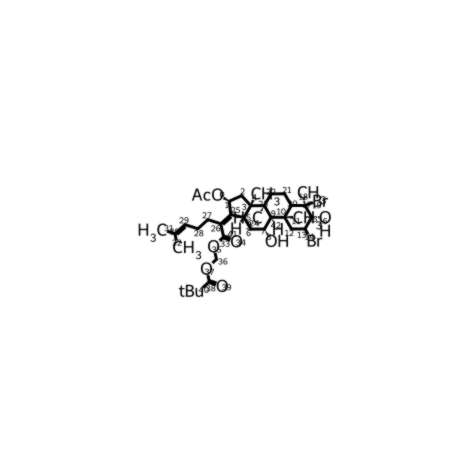 CC(=O)O[C@H]1C[C@@]2(C)[C@H](C[C@@H](O)[C@@H]3[C@@]4(C)CC(Br)[C@@H](O)[C@](C)(Br)C4CC[C@@]32C)C1=C(CCC=C(C)C)C(=O)OCOC(=O)C(C)(C)C